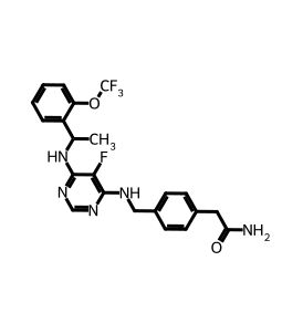 CC(Nc1ncnc(NCc2ccc(CC(N)=O)cc2)c1F)c1ccccc1OC(F)(F)F